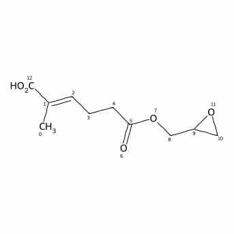 CC(=CCCC(=O)OCC1CO1)C(=O)O